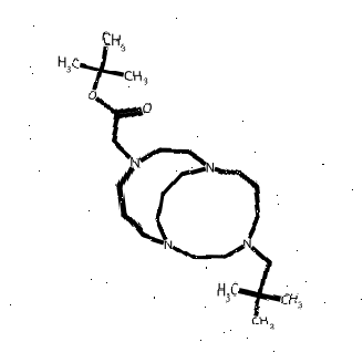 CC(C)(C)CN1CCCN2CCCN(CCCN(CC(=O)OC(C)(C)C)CC2)CC1